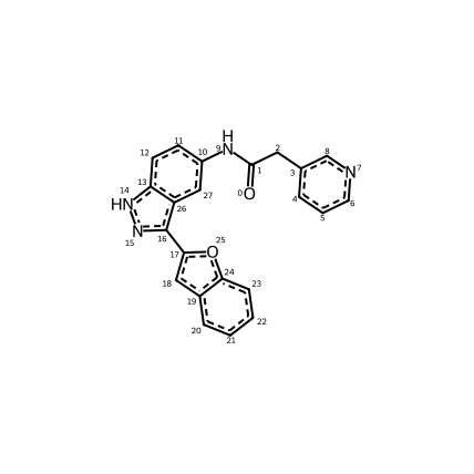 O=C(Cc1cccnc1)Nc1ccc2[nH]nc(-c3cc4ccccc4o3)c2c1